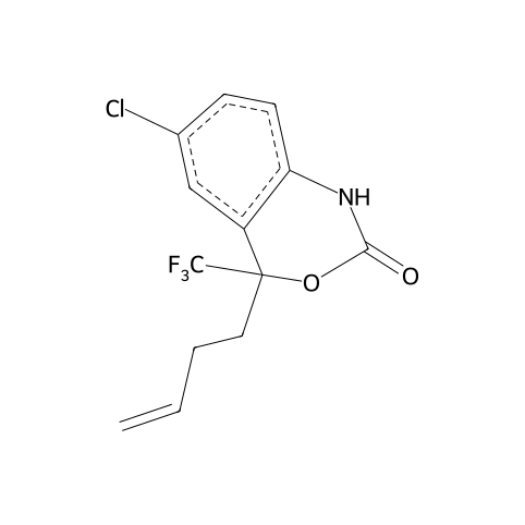 C=CCCC1(C(F)(F)F)OC(=O)Nc2ccc(Cl)cc21